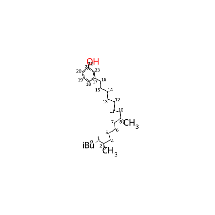 CC[C@@H](C)C[C@H](C)CCCC[C@@H](C)CCCCCCCc1cccc(O)c1